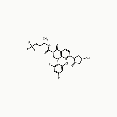 C[C@@H](COC(F)(F)F)NC(=O)c1cn(-c2c(F)cc(F)cc2Cl)c2nc(N3C[C@@H](O)CC3=O)ccc2c1=O